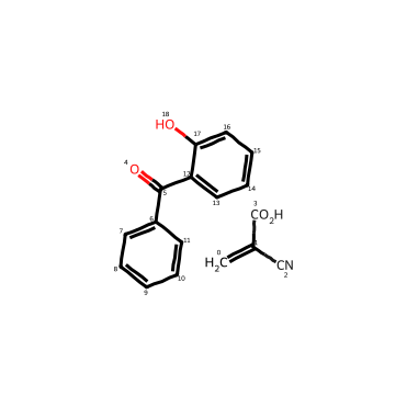 C=C(C#N)C(=O)O.O=C(c1ccccc1)c1ccccc1O